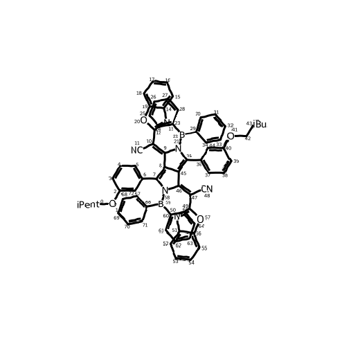 CCCC(C)Oc1cccc(-c2c3/c(=C(\C#N)c4nc5ccccc5o4)n(B(c4ccccc4)c4ccccc4)c(-c4cccc(OCC(C)CC)c4)c3/c(=C(\C#N)c3nc4ccccc4o3)n2B(c2ccccc2)c2ccccc2)c1